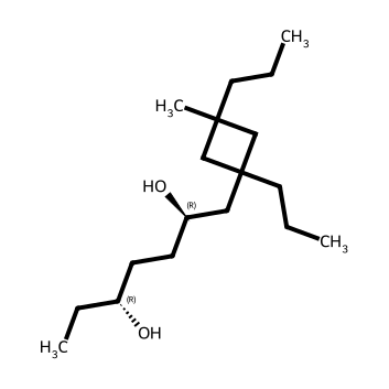 CCCC1(C)CC(CCC)(C[C@H](O)CC[C@H](O)CC)C1